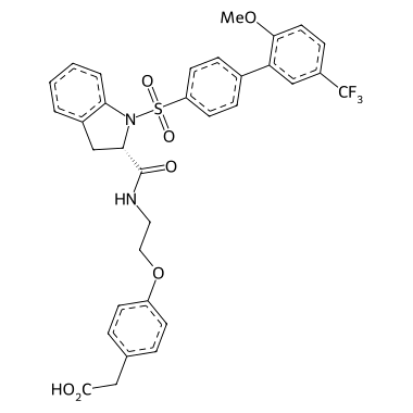 COc1ccc(C(F)(F)F)cc1-c1ccc(S(=O)(=O)N2c3ccccc3C[C@H]2C(=O)NCCOc2ccc(CC(=O)O)cc2)cc1